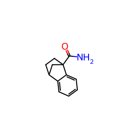 NC(=O)C12CCC(C1)c1ccccc12